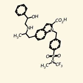 CC(Cc1ccc2c(c1)cc(C(=O)O)n2Cc1ccc(S(=O)(=O)N(C)C(F)(F)F)cc1)NCC(O)c1ccccc1